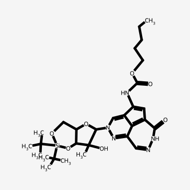 CCCCCOC(=O)Nc1cc2c(=O)[nH]ncc3nn(C4OC5CO[Si](C(C)(C)C)(C(C)(C)C)OC5C4(C)O)cc1c32